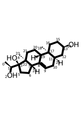 C[C@H](O)[C@@]1(O)CC[C@H]2C3=CC[C@@H]4C[C@H](O)CC[C@]4(C)[C@H]3CC[C@@]21C